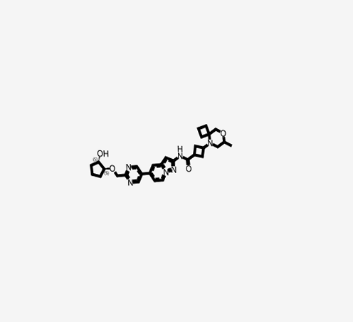 CC1CN(C2CC(C(=O)Nc3cc4cc(-c5cnc(CO[C@H]6CCC[C@@H]6O)nc5)ccn4n3)C2)C2(CCC2)CO1